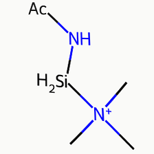 CC(=O)N[SiH2][N+](C)(C)C